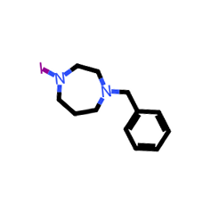 IN1CCCN(Cc2ccccc2)CC1